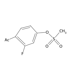 CC(=O)c1ccc(OS(C)(=O)=O)cc1F